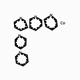 [Co].c1ccncc1.c1ccncc1.c1ccncc1.c1ccncc1.c1ccncc1